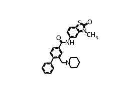 Cn1c(=O)sc2ccc(NC(=O)c3ccc(-c4ccccc4)c(CN4CCCCC4)c3)cc21